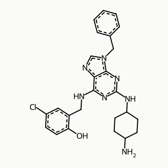 NC1CCC(Nc2nc(NCc3cc(Cl)ccc3O)c3ncn(Cc4ccccc4)c3n2)CC1